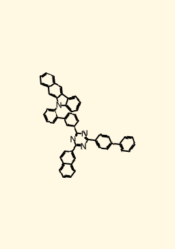 c1ccc(-c2ccc(-c3nc(-c4cccc(-c5ccccc5-n5c6ccccc6c6cc7ccccc7cc65)c4)nc(-c4ccc5ccccc5c4)n3)cc2)cc1